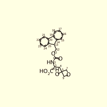 O=C(N[C@@H](CC1(O)COC1)C(=O)O)OCC1c2ccccc2-c2ccccc21